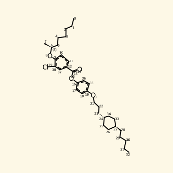 CCCCCC[C@H](C)Oc1ccc(C(=O)Oc2ccc(OCCC[C@H]3CC[C@H](CCCCC)CC3)cc2)cc1Cl